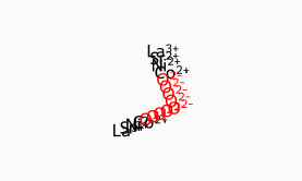 [Co+2].[Co+2].[La+3].[La+3].[Ni+2].[Ni+2].[O-2].[O-2].[O-2].[O-2].[O-2].[O-2].[O-2].[O-2].[O-2].[Sr+2].[Sr+2]